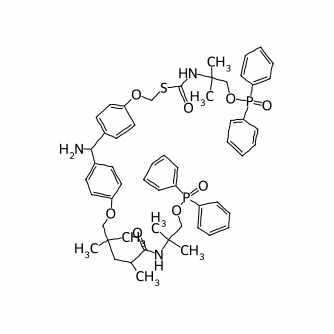 CC(CC(C)(C)COc1ccc(C(N)c2ccc(OCSC(=O)NC(C)(C)COP(=O)(c3ccccc3)c3ccccc3)cc2)cc1)C(=O)NC(C)(C)COP(=O)(c1ccccc1)c1ccccc1